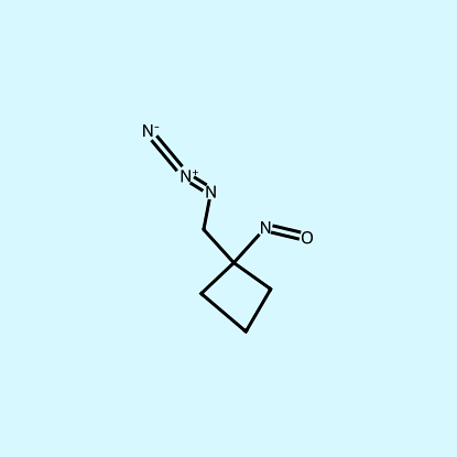 [N-]=[N+]=NCC1(N=O)CCC1